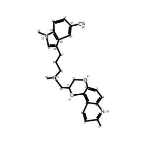 Cc1ccc2c3c(ccc2n1)OCC(CN(C)CCCc1cn(C)c2ccc(C#N)cc12)O3